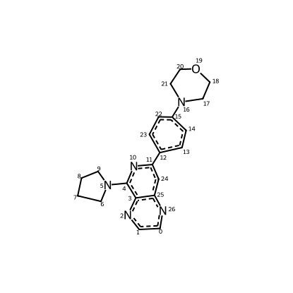 c1cnc2c(N3CCCC3)nc(-c3ccc(N4CCOCC4)cc3)cc2n1